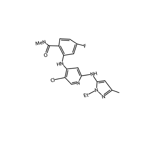 CCn1nc(C)cc1Nc1cc(Nc2cc(F)ccc2C(=O)NC)c(Cl)cn1